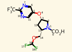 O=C(O)N1C[C@@H](Oc2cnc(C(F)(F)F)nc2)C[C@H]1COC(F)F